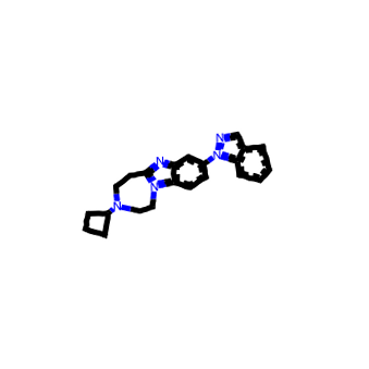 c1ccc2c(c1)cnn2-c1ccc2c(c1)nc1n2CCN(C2CCC2)CC1